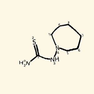 NC(=S)NN1CCCCCC1